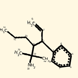 C=CC(c1ccccc1)C(CCC)C(C)(C)N